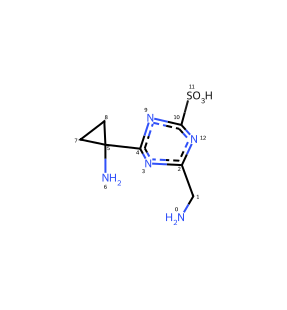 NCc1nc(C2(N)CC2)nc(S(=O)(=O)O)n1